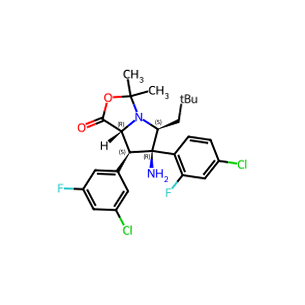 CC(C)(C)C[C@@H]1N2[C@@H](C(=O)OC2(C)C)[C@H](c2cc(F)cc(Cl)c2)[C@@]1(N)c1ccc(Cl)cc1F